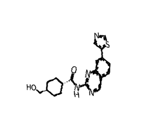 O=C(Nc1ncc2ccc(-c3cncs3)cc2n1)[C@H]1CC[C@H](CO)CC1